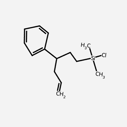 C=CCC(CC[Si](C)(C)Cl)c1ccccc1